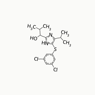 CC(C)c1nc(C(O)C(C)C)[nH]c1Sc1cc(Cl)cc(Cl)c1